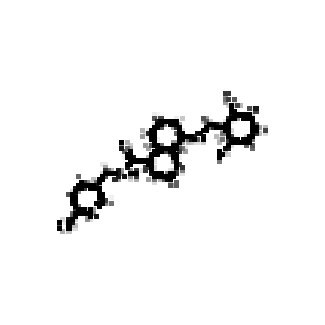 O=C(NCc1ccc(Cl)nc1)c1ccnc2c(OCc3c(F)cccc3F)cccc12